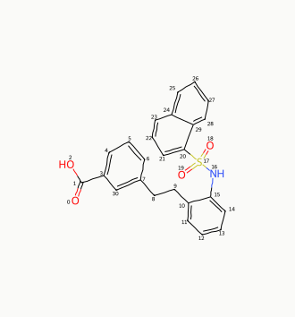 O=C(O)c1cccc(CCc2ccccc2NS(=O)(=O)c2cccc3ccccc23)c1